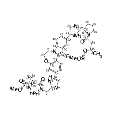 CCCN(Cc1ncc(-c2ccc3c(c2)OCCn2c-3c(F)c3cc(-c4cnc([C@@H]5CCCN5C(=O)CC(C)OSOC)[nH]4)ccc32)[nH]1)C(=O)[C@@H](NC(=O)OC)C(C)C